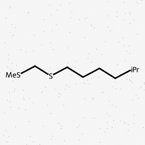 CSCSCCCCC(C)C